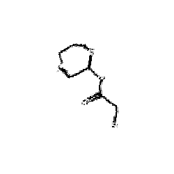 O=C(CBr)OC1CSCCS1